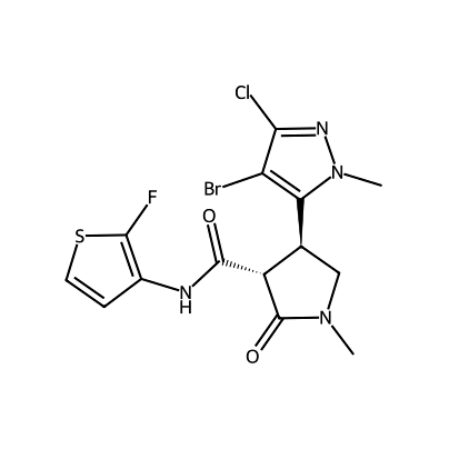 CN1C[C@H](c2c(Br)c(Cl)nn2C)[C@@H](C(=O)Nc2ccsc2F)C1=O